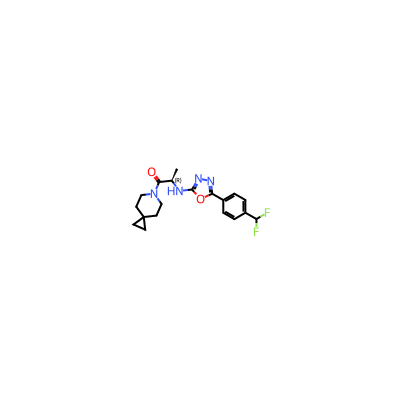 C[C@@H](Nc1nnc(-c2ccc(C(F)F)cc2)o1)C(=O)N1CCC2(CC1)CC2